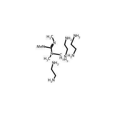 C/N=C(\NC)N(C)C.NCCN.NCCN.NCCN